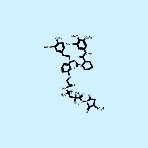 CC[C@H](C(=O)C1CCCC[C@H]1C(=O)O[C@H](CCc1ccc(OC)c(OC)c1)c1cccc(OCC(=O)NC(C)(C)CC(C)(C)C(=O)ON2C(=O)CC(S(=O)(=O)O)C2=O)c1)c1cc(OC)c(OC)c(OC)c1